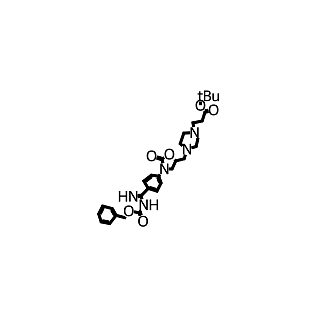 CC(C)(C)OC(=O)CCN1CCN(CC2CN(c3ccc(C(=N)NC(=O)OCc4ccccc4)cc3)C(=O)O2)CC1